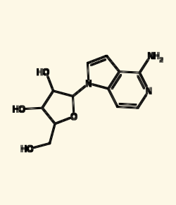 Nc1nccc2c1ccn2C1OC(CO)C(O)C1O